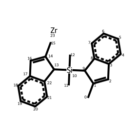 CC1=Cc2ccccc2C1[Si](C)(C)C1C(C)=Cc2ccccc21.[Zr]